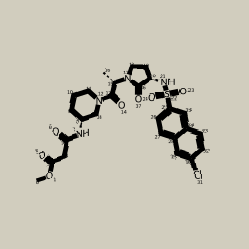 COC(=O)CC(=O)N[C@@H]1CCCN(C(=O)[C@H](C)N2CC[C@H](NS(=O)(=O)c3ccc4cc(Cl)ccc4c3)C2=O)C1